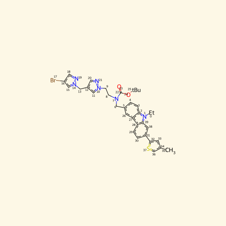 CCn1c2ccc(CN(CCn3cc(Cn4cc(Br)cn4)cn3)C(=O)OC(C)(C)C)cc2c2ccc(-c3cc(C)cs3)cc21